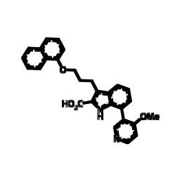 COc1ccncc1-c1cccc2c(CCCOc3cccc4ccccc34)c(C(=O)O)[nH]c12